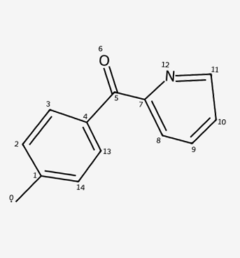 [CH2]c1ccc(C(=O)c2ccccn2)cc1